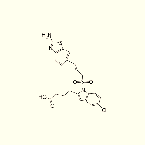 Nc1nc2ccc(C=CCS(=O)(=O)n3c(CCCC(=O)O)cc4cc(Cl)ccc43)cc2s1